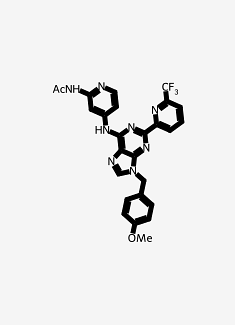 COc1ccc(Cn2cnc3c(Nc4ccnc(NC(C)=O)c4)nc(-c4cccc(C(F)(F)F)n4)nc32)cc1